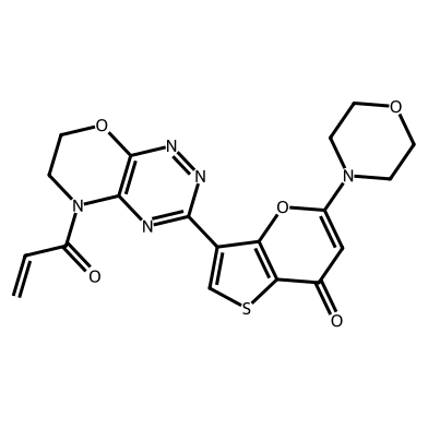 C=CC(=O)N1CCOc2nnc(-c3csc4c(=O)cc(N5CCOCC5)oc34)nc21